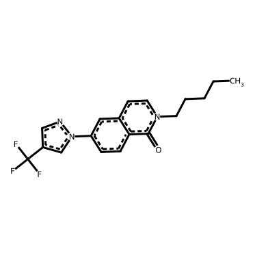 CCCCCn1ccc2cc(-n3cc(C(F)(F)F)cn3)ccc2c1=O